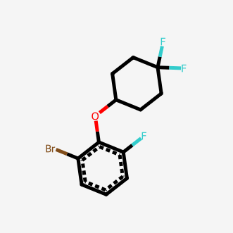 Fc1cccc(Br)c1OC1CCC(F)(F)CC1